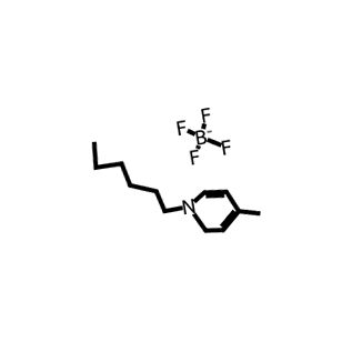 CCCCCCN1C=CC(C)=CC1.F[B-](F)(F)F